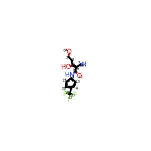 COCCC(O)=C(C#N)C(=O)Nc1ccc(C(F)(F)F)cc1